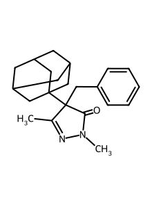 CC1=NN(C)C(=O)C1(Cc1ccccc1)C12CC3CC(CC(C3)C1)C2